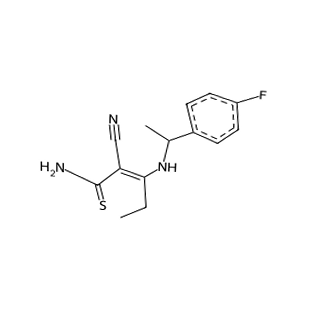 CCC(NC(C)c1ccc(F)cc1)=C(C#N)C(N)=S